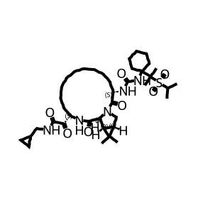 CC(C)S(=O)(=O)C(C)(C)C1(NC(=O)N[C@H]2CCCCCCCCC[C@@H](C(=O)C(=O)NCC3CC3)NC(=O)[C@@H]3[C@@H]4[C@H](CN3C2=O)C4(C)C)CCCCC1